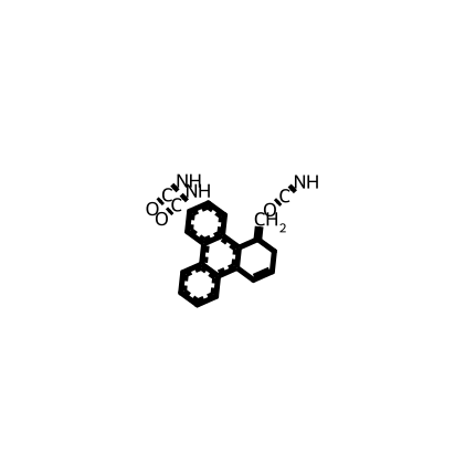 C=C1CC=Cc2c1c1ccccc1c1ccccc21.N=C=O.N=C=O.N=C=O